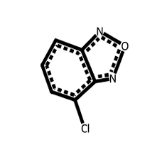 Clc1cccc2nonc12